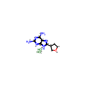 Cl.Cl.Nc1nc(N)c2nc(C3CCOC3)[nH]c2n1